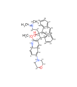 COc1nc2ccc(N3CCOCC3)cc2cc1C(c1ccccc1)C(O)(CCN(C)C)c1cccc2ccccc12